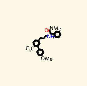 CNC(=O)[C@@H](NCCCc1ccc(C(F)(F)F)c(-c2ccc(OC)cc2)c1)c1ccccc1